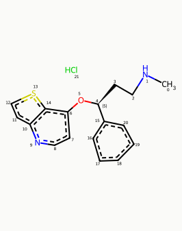 CNCC[C@H](Oc1ccnc2ccsc12)c1ccccc1.Cl